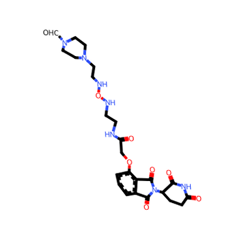 O=CN1CCN(CCNONCCNC(=O)COc2cccc3c2C(=O)N(C2CCC(=O)NC2=O)C3=O)CC1